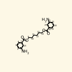 Nc1cccc(C(=O)OCCCCCCOC(=O)c2cccc(N)c2)c1